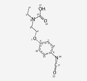 CCN(CCOc1ccc(N=C=O)cc1)C(=O)O